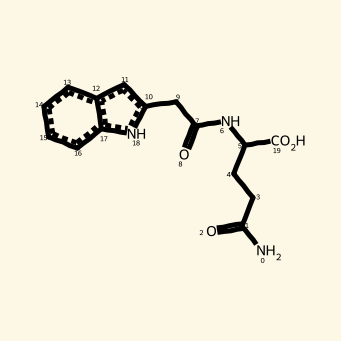 NC(=O)CCC(NC(=O)Cc1cc2ccccc2[nH]1)C(=O)O